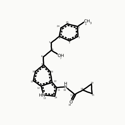 Cc1ccc(CC(O)Cc2ccc3[nH]cc(NC(=O)C4CC4)c3c2)cc1